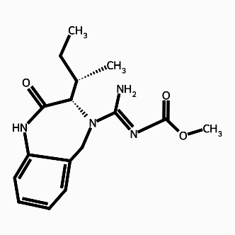 CC[C@H](C)[C@H]1C(=O)Nc2ccccc2CN1/C(N)=N/C(=O)OC